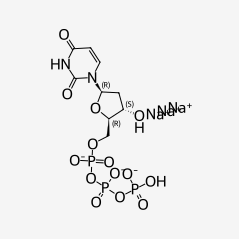 O=c1ccn([C@H]2C[C@H](O)[C@@H](COP(=O)([O-])OP(=O)([O-])OP(=O)([O-])O)O2)c(=O)[nH]1.[Na+].[Na+].[Na+]